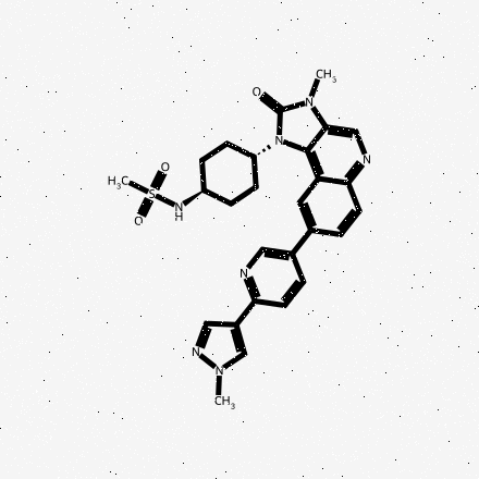 Cn1cc(-c2ccc(-c3ccc4ncc5c(c4c3)n([C@H]3CC[C@H](NS(C)(=O)=O)CC3)c(=O)n5C)cn2)cn1